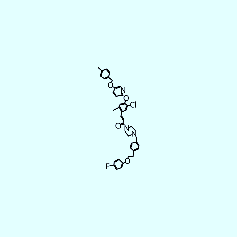 Cc1ccc(COc2ccc(Oc3cc(C)c(/C=C/C(=O)N4CCN(Cc5ccc(CCOc6ccc(F)cc6)cc5)CC4)cc3Cl)nc2)cc1